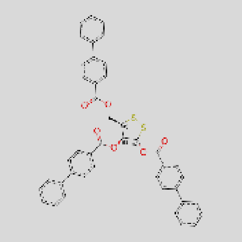 O=C(OC[C@H]1SS[C@H](OC(=O)c2ccc(-c3ccccc3)cc2)[C@H]1OC(=O)c1ccc(-c2ccccc2)cc1)c1ccc(-c2ccccc2)cc1